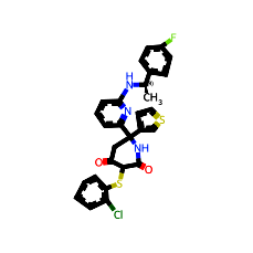 C[C@@H](Nc1cccc(C2(c3ccsc3)CC(=O)C(Sc3ccccc3Cl)C(=O)N2)n1)c1ccc(F)cc1